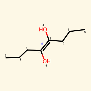 CCC/C(O)=C(\O)CCC